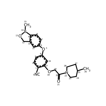 [C-]#[N+]c1ccc(Oc2ccc3c(c2)COB3C)cc1OCC(=O)N1CCC(C)CC1